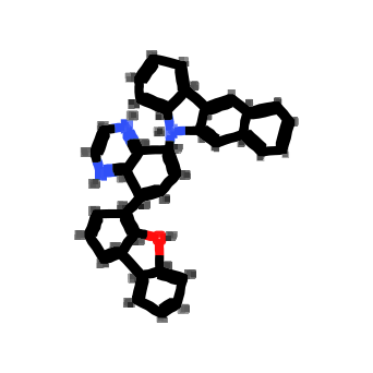 c1ccc2cc3c(cc2c1)c1ccccc1n3-c1ccc(-c2cccc3c2oc2ccccc23)c2nccnc12